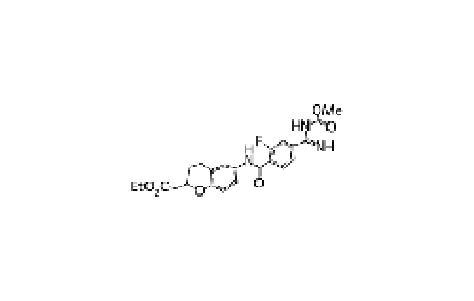 CCOC(=O)CC1CCc2cc(NC(=O)c3ccc(C(=N)NC(=O)OC)cc3F)ccc2O1